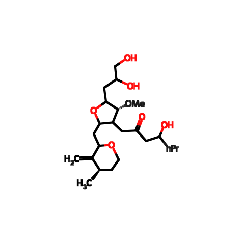 C=C1C(CC2OC(CC(O)CO)[C@H](OC)C2CC(=O)CC(O)CCC)OCC[C@H]1C